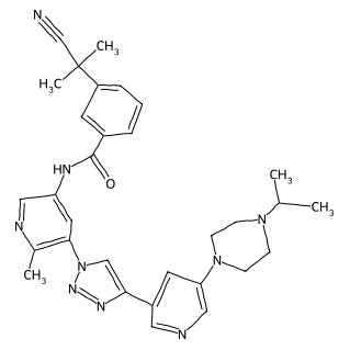 Cc1ncc(NC(=O)c2cccc(C(C)(C)C#N)c2)cc1-n1cc(-c2cncc(N3CCN(C(C)C)CC3)c2)nn1